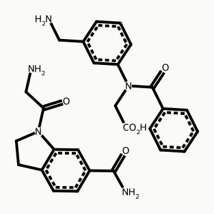 NCC(=O)N1CCc2ccc(C(N)=O)cc21.NCc1cccc(N(CC(=O)O)C(=O)c2ccccc2)c1